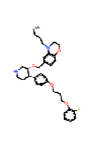 COCCCN1CCOc2ccc(CO[C@H]3CNCC[C@@H]3c3ccc(OCCCOc4ccccc4F)cc3)cc21